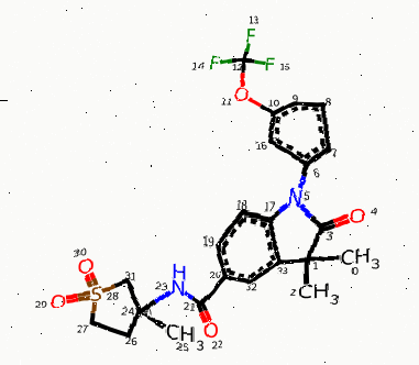 CC1(C)C(=O)N(c2cccc(OC(F)(F)F)c2)c2ccc(C(=O)N[C@]3(C)CCS(=O)(=O)C3)cc21